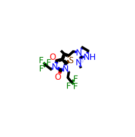 C/N=C1\NCCN1Cc1sc2c(c1C)c(=O)n(CC(F)(F)F)c(=O)n2CCC(F)(F)F